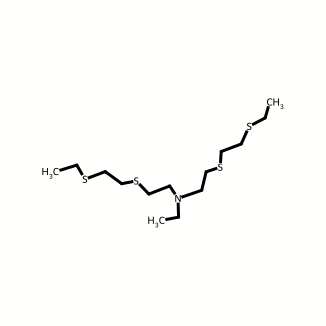 CCSCCSCCN(CC)CCSCCSCC